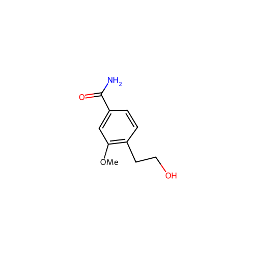 COc1cc(C(N)=O)ccc1CCO